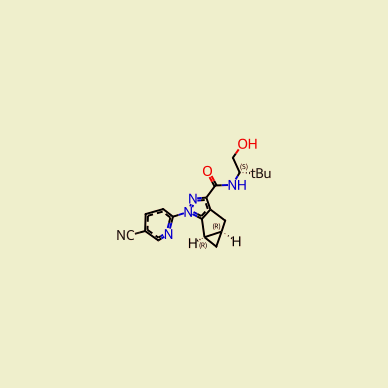 CC(C)(C)[C@@H](CO)NC(=O)c1nn(-c2ccc(C#N)cn2)c2c1C[C@H]1C[C@@H]21